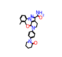 Cc1cccc(-n2nc(C(N)=O)c3c2C(=O)N(c2ccc(N4CCCCC4=O)cc2)CC3)c1C